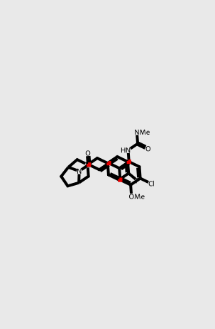 CNC(=O)Nc1cc(Cl)c(OC)cc1C=CC(=O)N1C2CCC1CN(Cc1ccc(F)cc1)C2